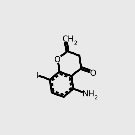 C=C1CC(=O)c2c(N)ccc(I)c2O1